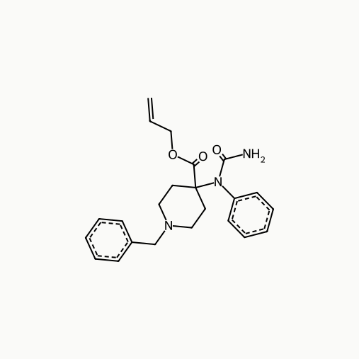 C=CCOC(=O)C1(N(C(N)=O)c2ccccc2)CCN(Cc2ccccc2)CC1